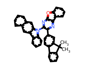 CC1(C)c2ccccc2-c2ccc(-c3nc4c(nc3-n3c5ccccc5c5cc6ccccc6cc53)oc3ccccc34)cc21